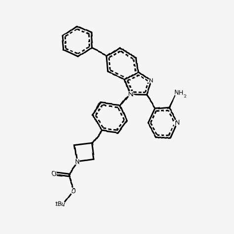 CC(C)(C)OC(=O)N1CC(c2ccc(-n3c(-c4cccnc4N)nc4ccc(-c5ccccc5)cc43)cc2)C1